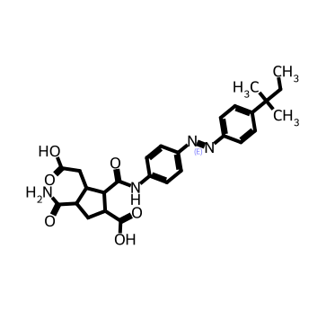 CCC(C)(C)c1ccc(/N=N/c2ccc(NC(=O)C3C(C(=O)O)CC(C(N)=O)C3CC(=O)O)cc2)cc1